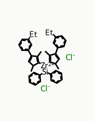 CCc1cccc(C2=CC(C)[C]([Zr+2]([C]3=C(C)C(c4cccc(CC)c4)=CC3C)=[Si](c3ccccc3)c3ccccc3)=C2C)c1.[Cl-].[Cl-]